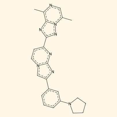 Cc1ncc(C)n2nc(-c3ccn4cc(-c5cccc(N6CCCC6)c5)nc4n3)nc12